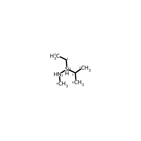 CC[SiH](NC)C(C)C